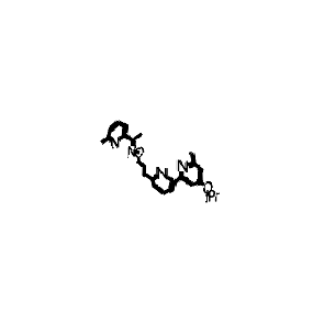 C/C(=N\OCCCc1cccc(-c2cc(OC(C)C)cc(C)n2)n1)c1cccc(C)n1